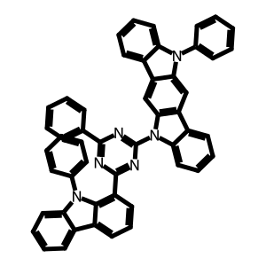 c1ccc(-c2nc(-c3cccc4c5ccccc5n(-c5ccccc5)c34)nc(-n3c4ccccc4c4cc5c(cc43)c3ccccc3n5-c3ccccc3)n2)cc1